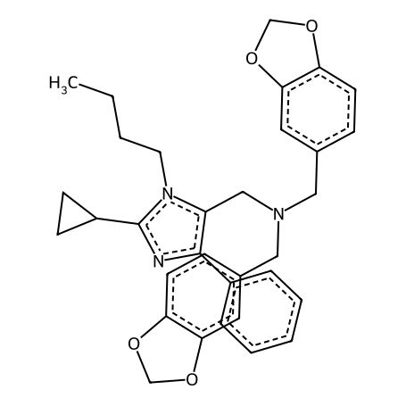 CCCCn1c(C2CC2)nc(-c2ccccc2)c1CN(Cc1ccc2c(c1)OCO2)Cc1ccc2c(c1)OCO2